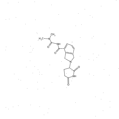 CN(C)C(=O)NC(=O)c1cccc2c1CN(C1CCC(=O)NC1=O)C2